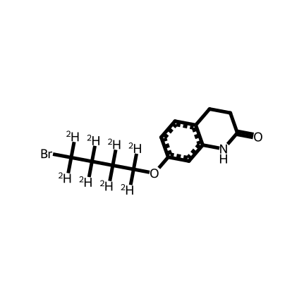 [2H]C([2H])(Br)C([2H])([2H])C([2H])([2H])C([2H])([2H])Oc1ccc2c(c1)NC(=O)CC2